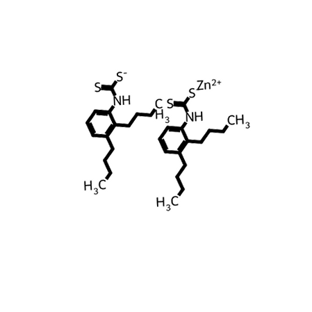 CCCCc1cccc(NC(=S)[S-])c1CCCC.CCCCc1cccc(NC(=S)[S-])c1CCCC.[Zn+2]